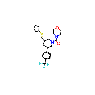 O=C(N1CCOCC1)N1CC(CSC2CCCC2)CC(c2ccc(C(F)(F)F)cc2)C1